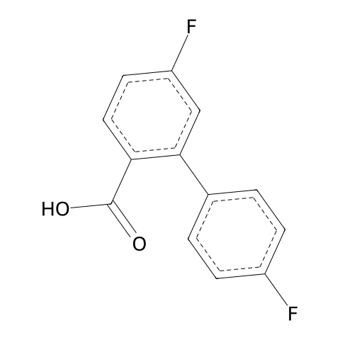 O=C(O)c1ccc(F)cc1-c1ccc(F)cc1